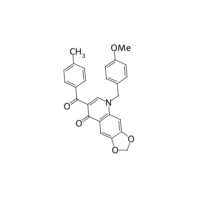 COc1ccc(Cn2cc(C(=O)c3ccc(C)cc3)c(=O)c3cc4c(cc32)OCO4)cc1